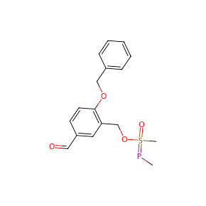 CP=S(C)(=O)OCc1cc(C=O)ccc1OCc1ccccc1